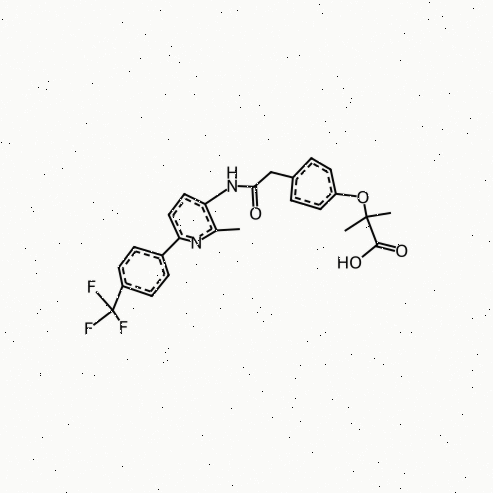 Cc1nc(-c2ccc(C(F)(F)F)cc2)ccc1NC(=O)Cc1ccc(OC(C)(C)C(=O)O)cc1